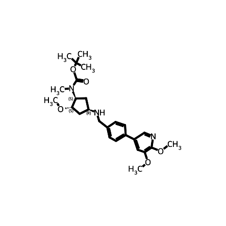 COc1cc(-c2ccc(CN[C@H]3C[C@H](OC)[C@@H](N(C)C(=O)OC(C)(C)C)C3)cc2)cnc1OC